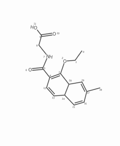 CCOC1=C(C(=O)NCC(=O)O)C=CC2C=CC(C)=CC12